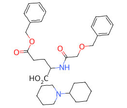 C1CCC(N2CCCCC2)CC1.O=C(COCc1ccccc1)NC(CCC(=O)OCc1ccccc1)C(=O)O